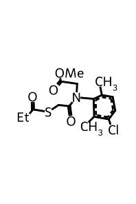 CCC(=O)SCC(=O)N(CC(=O)OC)c1c(C)ccc(Cl)c1C